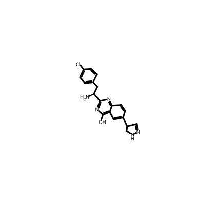 N[C@@H](Cc1ccc(Cl)cc1)c1nc(O)c2cc(C3C=NNC3)ccc2n1